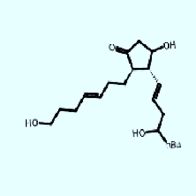 CCCCC(O)CC=C[C@H]1C(O)CC(=O)[C@@H]1CCC=CCCCO